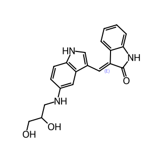 O=C1Nc2ccccc2/C1=C\c1c[nH]c2ccc(NCC(O)CO)cc12